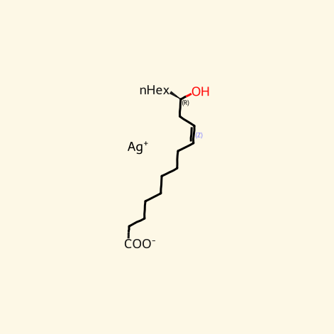 CCCCCC[C@@H](O)C/C=C\CCCCCCCC(=O)[O-].[Ag+]